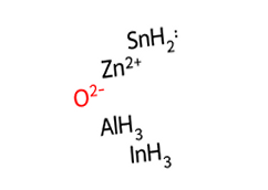 [AlH3].[InH3].[O-2].[SnH2].[Zn+2]